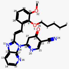 CCCCCOc1c(/C=C/c2nc3cccnc3n2C2=NC=C(C#N)C(=O)C2)cccc1OC